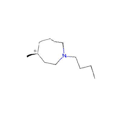 CCCCN1CCC[C@H](C)CC1